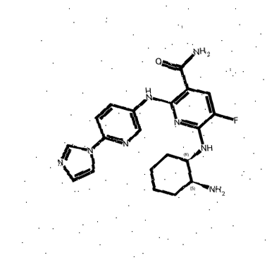 NC(=O)c1cc(F)c(N[C@@H]2CCCC[C@@H]2N)nc1Nc1ccc(-n2ccnc2)nc1